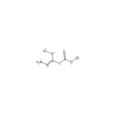 CCOC(=O)CC(=NN)OCC